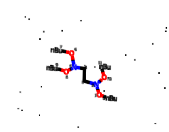 CCCCON(CCN(OCCCC)OCCCC)OCCCC